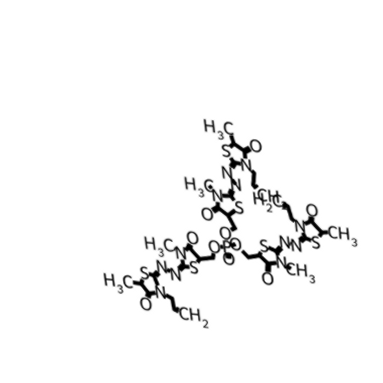 C=CCN1C(=O)C(C)S/C1=N/N=C1/SC(COP(=O)(OCC2S/C(=N/N=C3/SC(C)C(=O)N3CC=C)N(C)C2=O)OCC2S/C(=N/N=C3/SC(C)C(=O)N3CC=C)N(C)C2=O)C(=O)N1C